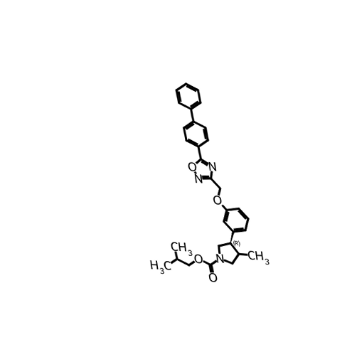 CC(C)COC(=O)N1CC(C)[C@H](c2cccc(OCc3noc(-c4ccc(-c5ccccc5)cc4)n3)c2)C1